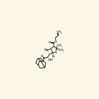 C=CCOC(=O)[C@@H]1N2C(=O)[C@@H]([C@H](O)C(=O)C34CC5CC(CC(C5)C3)C4)[C@H]2SC1(C)C